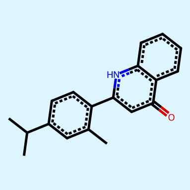 Cc1cc(C(C)C)ccc1-c1cc(=O)c2ccccc2[nH]1